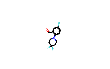 O=Cc1cc(F)ccc1N1CCC(F)(F)CC1